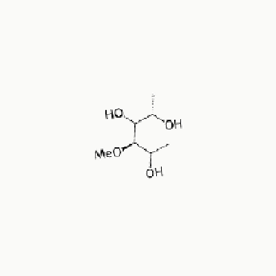 CO[C@H](C(C)O)C(O)[C@H](C)O